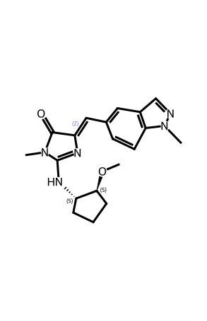 CO[C@H]1CCC[C@@H]1NC1=N/C(=C\c2ccc3c(cnn3C)c2)C(=O)N1C